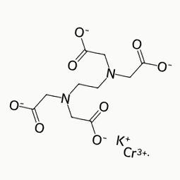 O=C([O-])CN(CCN(CC(=O)[O-])CC(=O)[O-])CC(=O)[O-].[Cr+3].[K+]